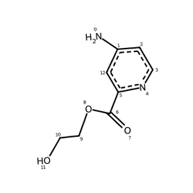 Nc1ccnc(C(=O)OCCO)c1